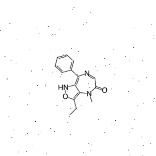 CCC1=C2C(=C(c3ccccc3)N=CC(=O)N2C)NO1